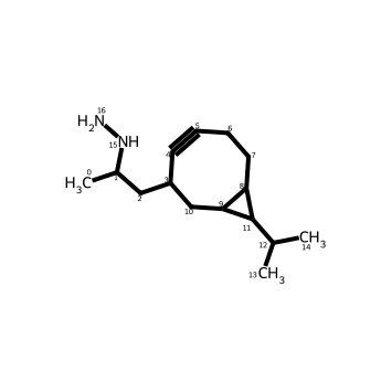 CC(CC1C#CCCC2C(C1)C2C(C)C)NN